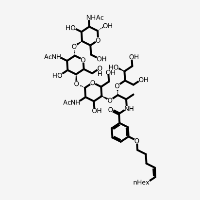 CCCCCC/C=C\CCCOc1cccc(C(=O)NC(C)[C@@H](OC(CO)[C@@H](O)CO)O[C@@H]2C(CO)O[C@@H](O[C@@H]3C(CO)O[C@@H](O[C@@H]4C(CO)O[C@@H](O)C(NC(C)=O)C4O)C(NC(C)=O)C3O)C(NC(C)=O)C2O)c1